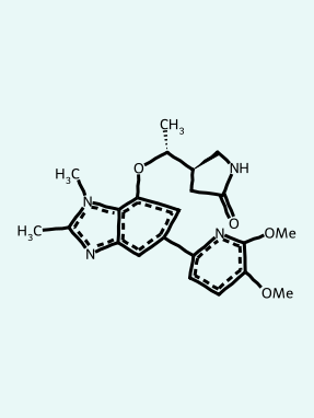 COc1ccc(-c2cc(O[C@H](C)[C@H]3CNC(=O)C3)c3c(c2)nc(C)n3C)nc1OC